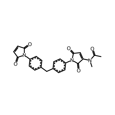 CC(=O)N(C)C1=CC(=O)N(c2ccc(Cc3ccc(N4C(=O)C=CC4=O)cc3)cc2)C1=O